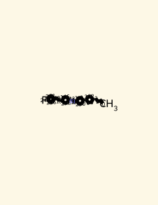 CCCC[C@H]1CC[C@H](C2CCC(/C=C/[C@H]3CC[C@H](CCc4ccc(F)cc4)CC3)CC2)CC1